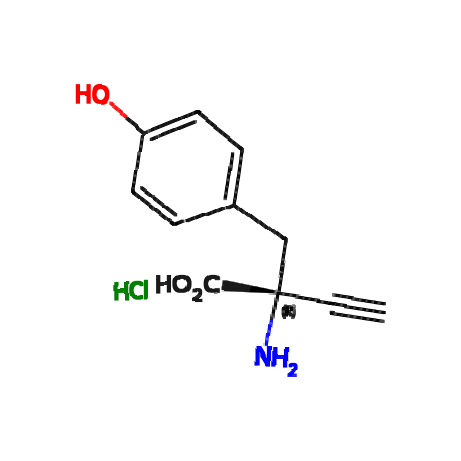 C#C[C@](N)(Cc1ccc(O)cc1)C(=O)O.Cl